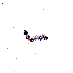 Cc1ccc(N2CCC(Oc3ccc4nc(C(=O)NC5CCN(C(=O)c6ccc(F)cc6)CC5)oc4c3)CC2)cc1